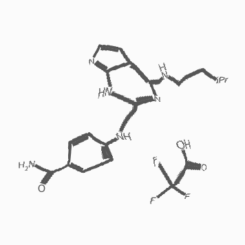 CC(C)CCNc1nc(Nc2ccc(C(N)=O)cc2)[nH]c2nccc1-2.O=C(O)C(F)(F)F